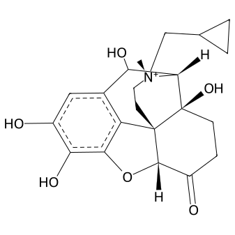 C[N@+]1(CC2CC2)CC[C@]23c4c5cc(O)c(O)c4O[C@H]2C(=O)CC[C@@]3(O)[C@H]1C5O